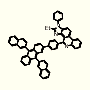 CCc1nc2c3c(-c4ccc(-c5ccc6c(-c7ccc8ccccc8c7)c7ccccc7c(-c7ccc8ccccc8c7)c6c5)cc4)nc4ccccc4c3ccc2n1-c1ccccc1